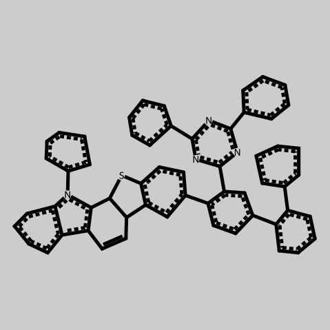 C1=CC2c3cc(-c4ccc(-c5ccccc5-c5ccccc5)cc4-c4nc(-c5ccccc5)nc(-c5ccccc5)n4)ccc3SC2c2c1c1ccccc1n2-c1ccccc1